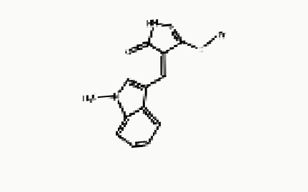 CC(C)OC1=NNC(=O)C1=Cc1cn(C)c2ccccc12